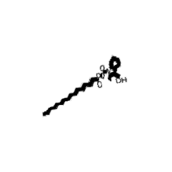 CCCCCCCCCCCCCCCC(=O)OOC(=O)n1c(C)c(CO)c2ccccc21